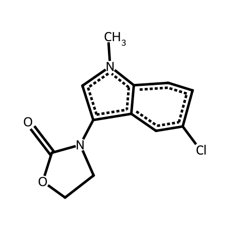 Cn1cc(N2CCOC2=O)c2cc(Cl)ccc21